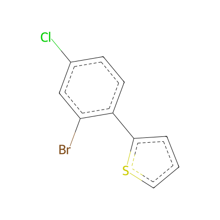 Clc1ccc(-c2cccs2)c(Br)c1